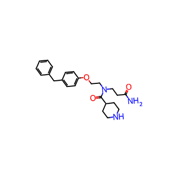 NC(=O)CCN(CCOc1ccc(Cc2ccccc2)cc1)C(=O)C1CCNCC1